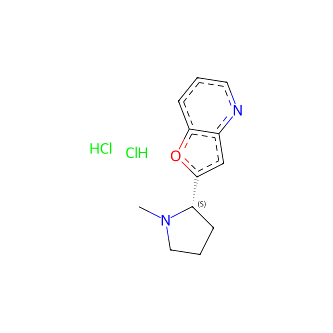 CN1CCC[C@H]1c1cc2ncccc2o1.Cl.Cl